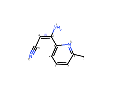 Cc1cccc(/C(N)=C\C#N)n1